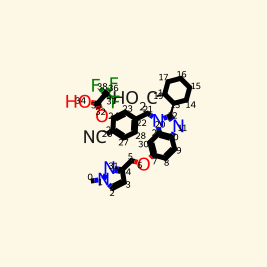 Cn1ccc(COc2ccc3nc([C@@H]4CCCC[C@H]4C(=O)O)n(Cc4ccc(C#N)cc4)c3c2)n1.O=C(O)C(F)(F)F